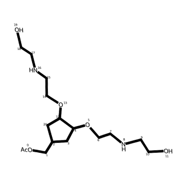 CC(=O)OCC1CC(OCCNCCO)C(OCCNCCO)C1